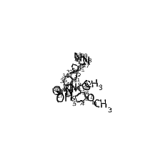 CCOc1cccc(C(COC)n2nc(C(=O)O)c3c2-c2ccc(OCc4cncnc4)cc2CC3)c1